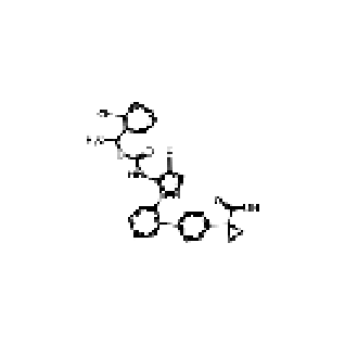 CC(OC(=O)Nc1c(F)cnn1-c1ccccc1-c1ccc(C2(C(=O)O)CC2)cc1)c1ccccc1Cl